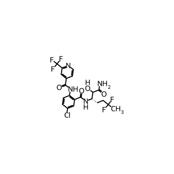 CC(F)(F)CC[C@H](NC(=O)c1cc(Cl)ccc1NC(=O)c1ccnc(C(F)(F)F)c1)C(O)C(N)=O